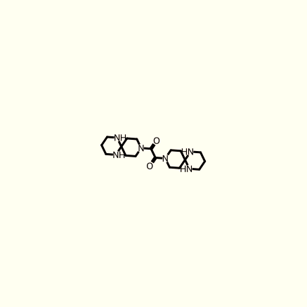 O=C(C(=O)N1CCC2(CC1)NCCCN2)N1CCC2(CC1)NCCCN2